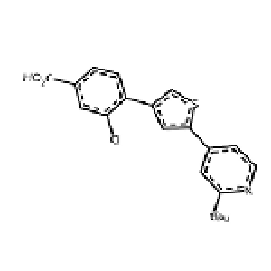 CC(C)(C)c1cc(-c2cc(-c3ccc(C(=O)O)cc3Cl)cs2)ccn1